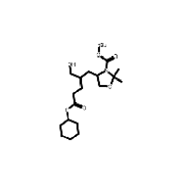 CC(C)(C)OC(=O)N1C(CC(CO)CCC(=O)OC2CCCCC2)COC1(C)C